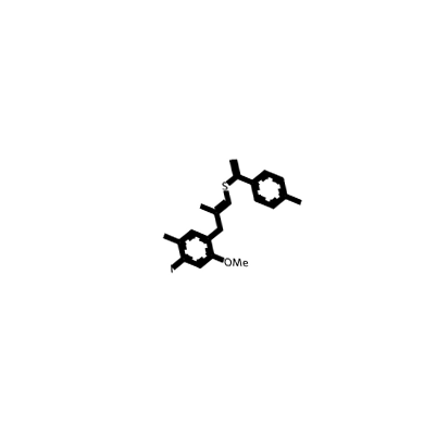 C=C(S/C=C(\C)Cc1cc(C)c(I)cc1OC)c1ccc(C)cc1